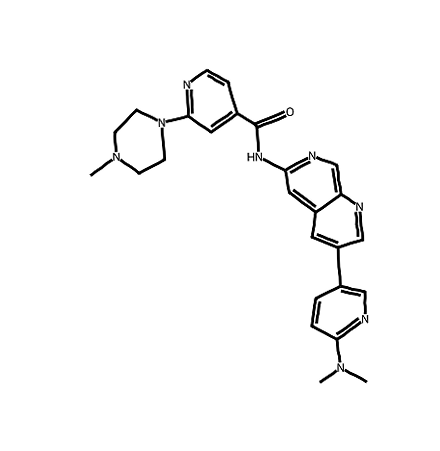 CN1CCN(c2cc(C(=O)Nc3cc4cc(-c5ccc(N(C)C)nc5)cnc4cn3)ccn2)CC1